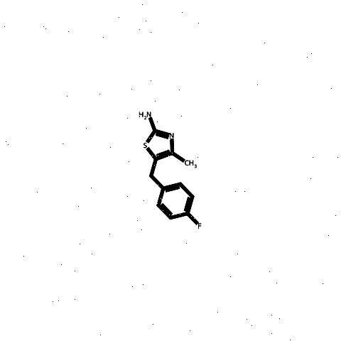 Cc1nc(N)sc1Cc1ccc(F)cc1